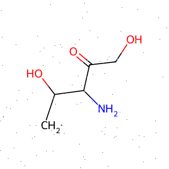 [CH2]C(O)C(N)C(=O)CO